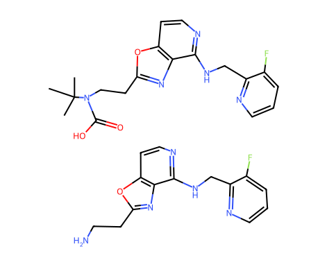 CC(C)(C)N(CCc1nc2c(NCc3ncccc3F)nccc2o1)C(=O)O.NCCc1nc2c(NCc3ncccc3F)nccc2o1